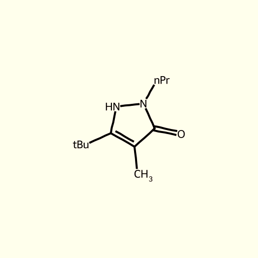 CCCn1[nH]c(C(C)(C)C)c(C)c1=O